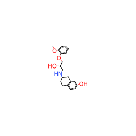 COc1ccccc1OCC(O)CNC1CCc2ccc(O)cc2C1